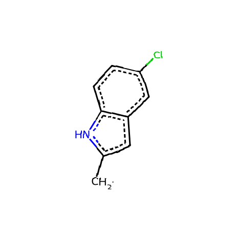 [CH2]c1cc2cc(Cl)ccc2[nH]1